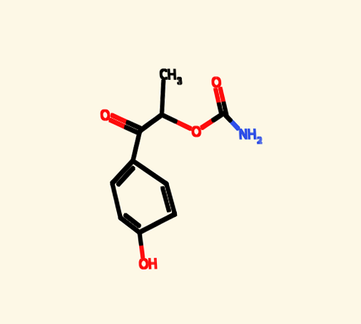 CC(OC(N)=O)C(=O)c1ccc(O)cc1